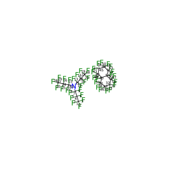 FC(F)(F)C(F)(F)C(F)(F)N(C(F)(F)C(F)(F)C(F)(F)F)C(F)(F)C(F)(F)C(F)(F)F.FC1(F)C(F)(F)C(F)(F)C2(F)C(F)(F)C(F)(F)C(F)(F)C(F)(F)C2(F)C1(F)F